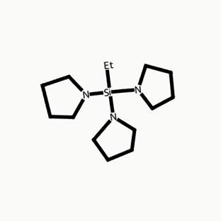 CC[Si](N1CCCC1)(N1CCCC1)N1CCCC1